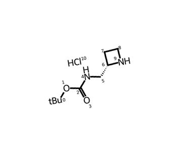 CC(C)(C)OC(=O)NC[C@@H]1CCN1.Cl